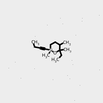 CCC#C[Si]1(C)CCC(C)C(C)(CC)O1